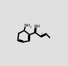 C/C=C/C(=N)C1=CC=CCC1N